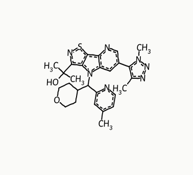 Cc1ccnc(C(C2CCOCC2)n2c3cc(-c4c(C)nnn4C)cnc3c3snc(C(C)(C)O)c32)c1